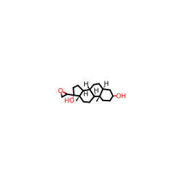 C[C@]12CC[C@H](O)C[C@@H]1CC[C@@H]1[C@@H]2CC[C@@]2(C)[C@H]1CC[C@]2(O)C1CO1